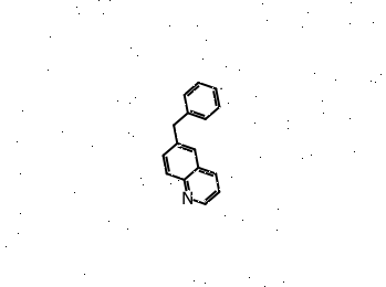 [c]1ccc(Cc2ccc3ncccc3c2)cc1